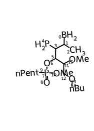 BC(C)C(P)C(OP(=O)(CCCCC)OC)C(COCCCC)OC